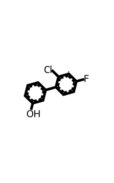 Oc1cccc(-c2ccc(F)[c]c2Cl)c1